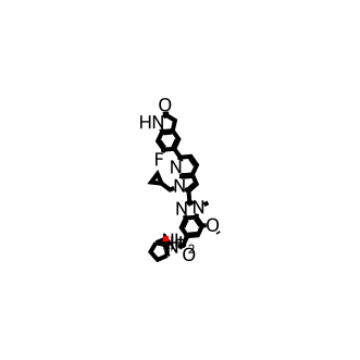 COc1cc(C(=O)N2CC3CCC2[C@@H]3N)cc2nc(-c3cc4ccc(-c5cc6c(cc5F)NC(=O)C6)nc4n3CC3CC3)n(C)c12